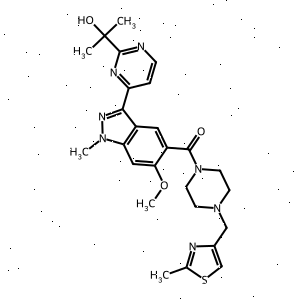 COc1cc2c(cc1C(=O)N1CCN(Cc3csc(C)n3)CC1)c(-c1ccnc(C(C)(C)O)n1)nn2C